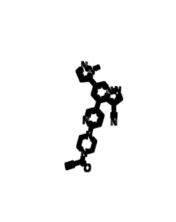 C#CC(=O)N1CCN(c2ccc(-c3cc(-c4ccnn4C)cn4ncc(C#N)c34)cn2)CC1